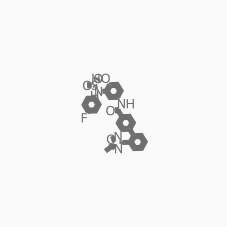 Cc1nc(-c2ccccc2-c2ccc(C(=O)Nc3ccc(O)c(N(c4ccc(F)cc4)[SH](=O)=O)c3)cc2)no1